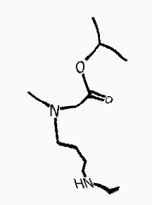 CNCCN(C)C(=O)OC(C)C